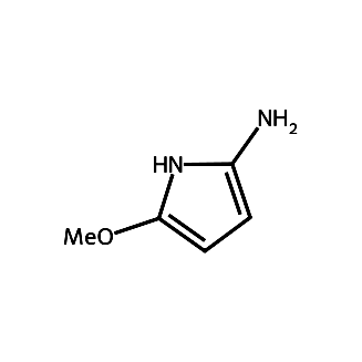 COc1ccc(N)[nH]1